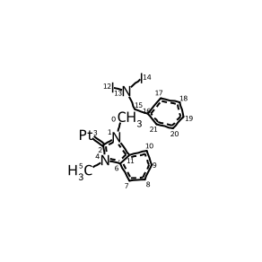 Cn1[c](=[Pt])n(C)c2ccccc21.IN(I)Cc1ccccc1